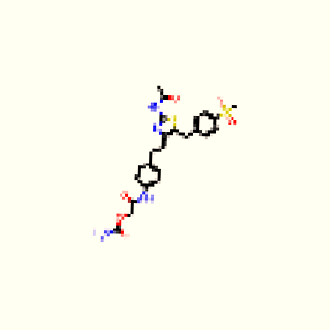 CC(=O)Nc1nc(CCc2ccc(NC(=O)COC(N)=O)cc2)c(Cc2ccc(S(C)(=O)=O)cc2)s1